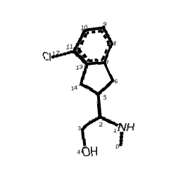 CNC(CO)C1Cc2cccc(Cl)c2C1